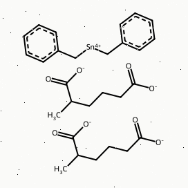 CC(CCCC(=O)[O-])C(=O)[O-].CC(CCCC(=O)[O-])C(=O)[O-].c1ccc([CH2][Sn+4][CH2]c2ccccc2)cc1